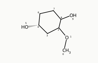 COC1C[C@H](O)CCC1O